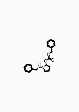 O=C(OCc1ccccc1)O[C@H]1CCCN1NCc1ccccc1